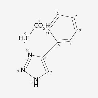 CC(=O)O.c1ccc(-c2c[nH]nn2)cc1